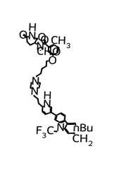 C=C/C=c1\c(=C/CCCC)c2ccc(C3=CNC(CCCN4CCN(CCCCCOc5ccc(C)c(C(=O)N(C=O)C6CCC(=O)NC6=O)c5)CC4)C=C3)cc2n1CC(F)(F)F